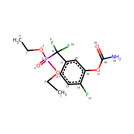 CCOP(=O)(OCC)C(F)(F)c1ccc(F)c(OC(N)=O)c1